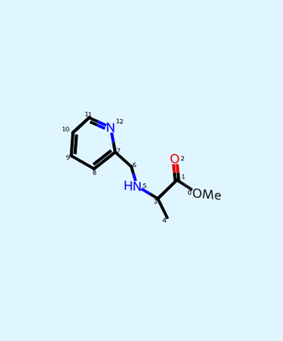 COC(=O)C(C)NCc1ccccn1